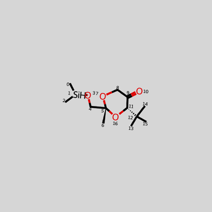 C[SiH](C)OC[C@]1(C)OCC(=O)[C@H](C(C)(C)C)O1